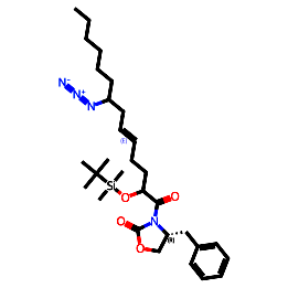 CCCCCCC(C/C=C/CCC(O[Si](C)(C)C(C)(C)C)C(=O)N1C(=O)OC[C@H]1Cc1ccccc1)N=[N+]=[N-]